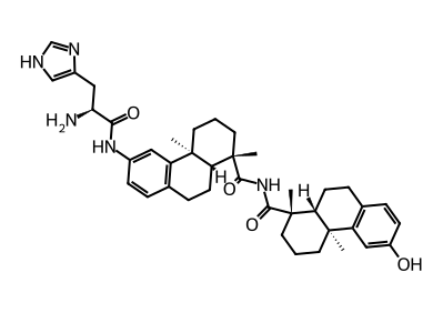 C[C@]1(C(=O)NC(=O)[C@@]2(C)CCC[C@]3(C)c4cc(NC(=O)[C@@H](N)Cc5c[nH]cn5)ccc4CC[C@@H]23)CCC[C@]2(C)c3cc(O)ccc3CC[C@@H]12